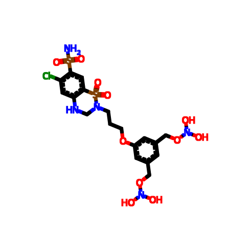 NS(=O)(=O)c1cc2c(cc1Cl)NCN(CCCOc1cc(CON(O)O)cc(CON(O)O)c1)S2(=O)=O